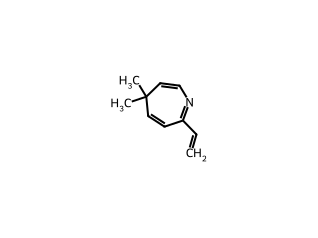 C=CC1=NC=CC(C)(C)C=C1